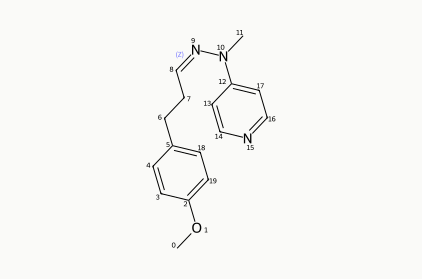 COc1ccc(CC/C=N\N(C)c2ccncc2)cc1